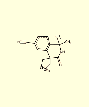 CCC1(CC)C(=O)NC(C)(C)c2ccc(C#N)cc21